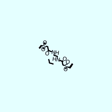 C=CS(=O)(=O)CC(=O)NCCNC(=O)CS(=O)(=O)C=C.CCC